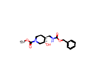 CC(C)(C)OC(=O)N1CC[C@@H](CNC(=O)OCc2ccccc2)[C@H](O)C1